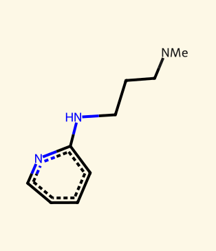 CNCCCNc1ccccn1